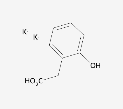 O=C(O)Cc1ccccc1O.[K].[K]